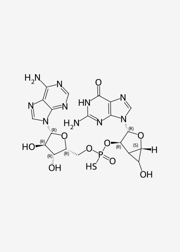 Nc1nc2c(ncn2[C@@H]2O[C@@H]3C(O)C3[C@H]2OP(=O)(S)OC[C@H]2O[C@@H](n3cnc4c(N)ncnc43)[C@H](O)[C@H]2O)c(=O)[nH]1